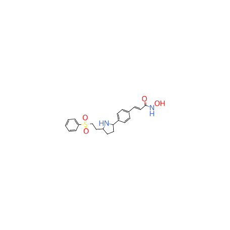 O=C(/C=C/c1ccc(C2CCC(CCS(=O)(=O)c3ccccc3)N2)cc1)NO